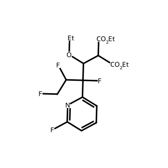 CCOC(=O)C(C(=O)OCC)C(OCC)C(F)(c1cccc(F)n1)C(F)CF